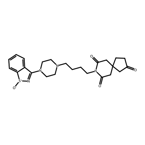 O=C1CCC2(C1)CC(=O)N(CCCCN1CCN(c3n[s+]([O-])c4ccccc34)CC1)C(=O)C2